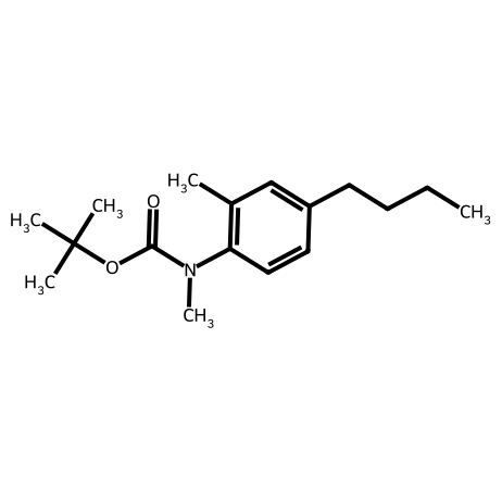 CCCCc1ccc(N(C)C(=O)OC(C)(C)C)c(C)c1